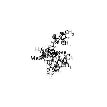 CO[Si](C)(O[Si](CCCNC(=O)n1nc(C)cc1C)(OC)OC)O[Si](CCCNC(=O)n1nc(C)cc1C)(OC)O[Si](CCCNC(=O)n1nccc1C)(OC)OC